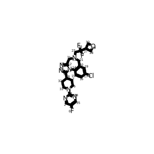 Fc1cnc(N2CCC(c3nnc4n3-c3ccc(Cl)cc3CN(CC(F)(F)C3COC3)C4)CC2)nc1